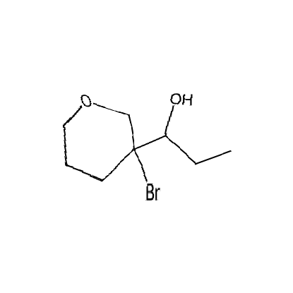 CCC(O)C1(Br)CCCOC1